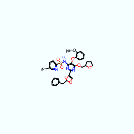 COc1ccccc1Oc1c(NS(=O)(=O)c2ccc(C(C)C)cn2)nc(C2=COC(Cc3ccccc3)O2)nc1OCC1CCCO1